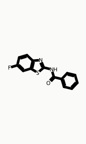 O=C(Nc1nc2ccc(F)cc2s1)c1ccccc1